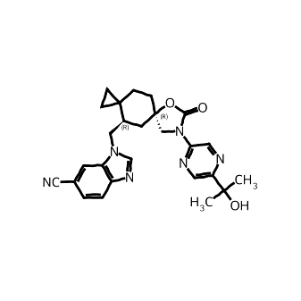 CC(C)(O)c1cnc(N2C[C@]3(CCC4(CC4)[C@H](Cn4cnc5ccc(C#N)cc54)C3)OC2=O)cn1